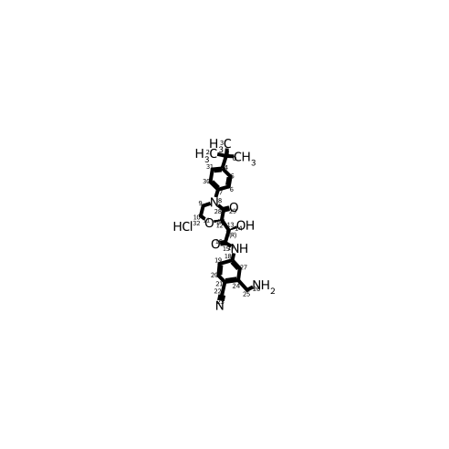 CC(C)(C)c1ccc(N2CCO[C@H]([C@@H](O)C(=O)Nc3ccc(C#N)c(CN)c3)C2=O)cc1.Cl